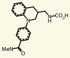 CNC(=O)c1ccc(N2CC(CNC(=O)O)Cc3ccccc32)cc1